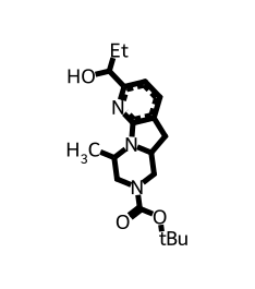 CCC(O)c1ccc2c(n1)N1C(C)CN(C(=O)OC(C)(C)C)CC1C2